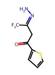 N/N=C(/CC(=O)c1cccs1)C(F)(F)F